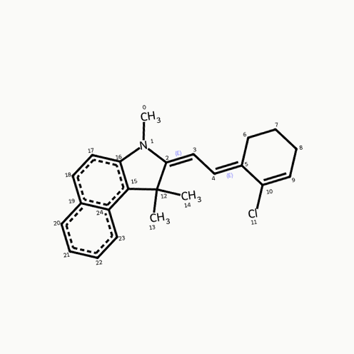 CN1/C(=C/C=C2\CCCC=C2Cl)C(C)(C)c2c1ccc1ccccc21